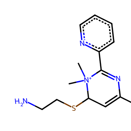 CC1=CC(SCCN)[N+](C)(C)C(c2ccccn2)=N1